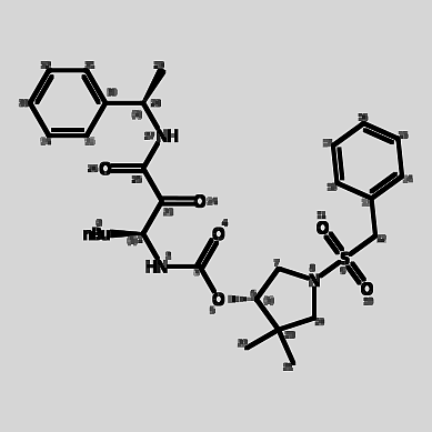 CCCC[C@H](NC(=O)O[C@@H]1CN(S(=O)(=O)Cc2ccccc2)CC1(C)C)C(=O)C(=O)N[C@H](C)c1ccccc1